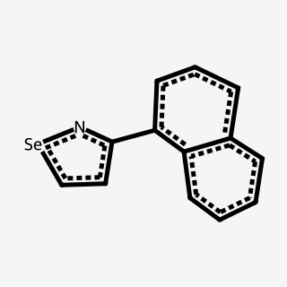 c1ccc2c(-c3cc[se]n3)cccc2c1